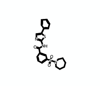 O=C(Nc1ncc(-c2ccccc2)s1)c1cccc(S(=O)(=O)N2CCCCCC2)c1